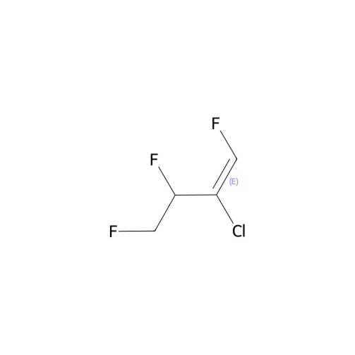 F/C=C(/Cl)C(F)CF